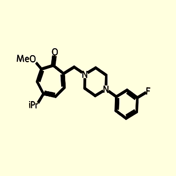 COc1cc(C(C)C)ccc(CN2CCN(c3cccc(F)c3)CC2)c1=O